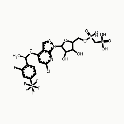 C[C@@H](Nc1cc(Cl)nc2c1cnn2C1OC(COP(=O)(O)CP(=O)(O)O)C(O)C1O)c1ccc(S(F)(F)(F)(F)F)cc1F